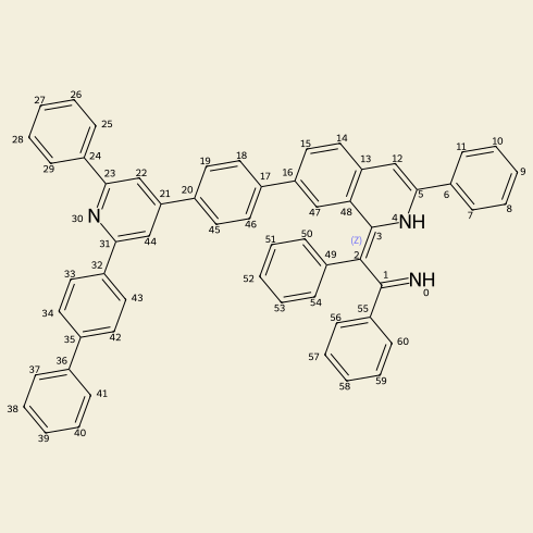 N=C(/C(=C1\NC(c2ccccc2)=Cc2ccc(-c3ccc(-c4cc(-c5ccccc5)nc(-c5ccc(-c6ccccc6)cc5)c4)cc3)cc21)c1ccccc1)c1ccccc1